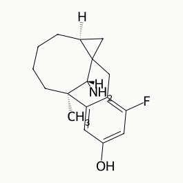 C[C@@]12CCCC[C@H]3CC3(Cc3c(F)cc(O)cc31)[C@@H]2N